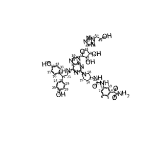 NS(=O)(=O)c1cccc(NC(=O)N[C@@H]2CCN(c3nc(NCC(c4ccc(O)cc4)c4ccc(O)cc4)c4ncn([C@@H]5O[C@H](c6nnn(CCO)n6)[C@@H](O)[C@@H]5O)c4n3)C2)c1